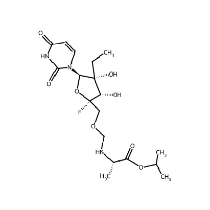 CC[C@]1(O)[C@H](n2ccc(=O)[nH]c2=O)O[C@](F)(COCN[C@@H](C)C(=O)OC(C)C)[C@H]1O